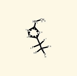 CNc1nnc(C(F)(F)C(F)(F)F)s1